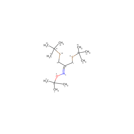 CC(C)(C)ON=C(CSC(C)(C)C)CSC(C)(C)C